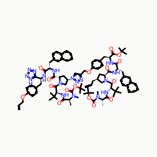 C=CCOc1ccc(C[C@H](NC(=O)[C@H](Cc2ccc3ccccc3c2)NC(=O)[C@@H]2C[C@H](n3cc(COc4ccc(C[C@H](NC(=O)[C@H](Cc5ccc6ccccc6c5)NC(=O)[C@@H]5C[C@H](CC=C)CN5C(=O)[C@@H](NC(=O)[C@H](C)N(C)C(=O)OC(C)(C)C)C(C)(C)C)C(=O)OC(C)(C)C)cc4)nn3)CN2C(=O)[C@@H](NC(=O)[C@H](C)N(C)C(=O)OC(C)(C)C)C(C)(C)C)c2nnn[nH]2)cc1